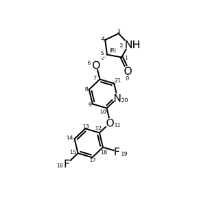 O=C1NCC[C@H]1Oc1ccc(Oc2ccc(F)cc2F)nc1